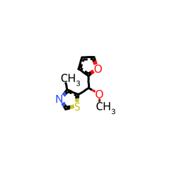 COC(c1ccco1)c1scnc1C